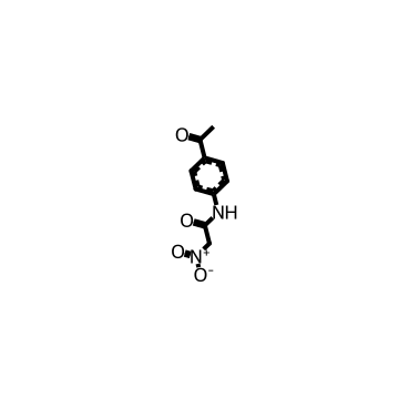 CC(=O)c1ccc(NC(=O)C[N+](=O)[O-])cc1